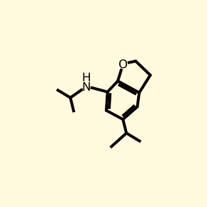 CC(C)Nc1cc(C(C)C)cc2c1OCC2